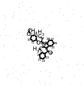 CCC(Oc1ccc(OC)cc1)n1c(C)c(C(=O)c2ccccc2)c2ccccc21